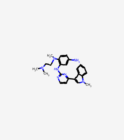 CN(C)CCN(C)c1ccc(N)cc1Nc1nccc(-c2cn(C)c3ccccc23)n1